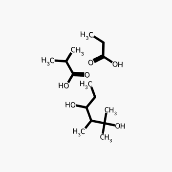 CC(C)C(=O)O.CCC(=O)O.CCC(O)C(C)C(C)(C)O